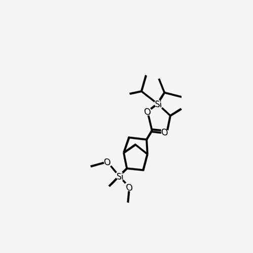 CO[Si](C)(OC)C1CC2CC1CC2C(=O)O[Si](C(C)C)(C(C)C)C(C)C